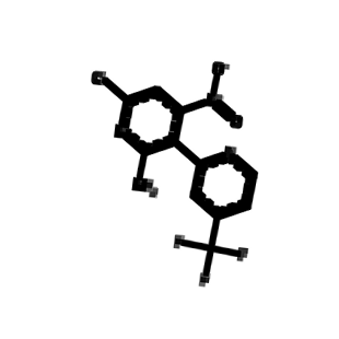 Nc1nc(Cl)cc([N+](=O)[O-])c1-c1cc(C(F)(F)F)ccn1